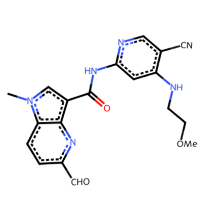 COCCNc1cc(NC(=O)c2cn(C)c3ccc(C=O)nc23)ncc1C#N